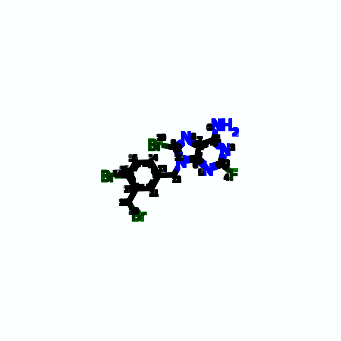 Nc1nc(F)nc2c1nc(Br)n2Cc1ccc(Br)c(CBr)c1